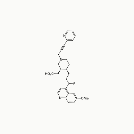 COc1ccc2nccc(C(F)CC[C@@H]3CCN(CC#Cc4ccccn4)C[C@@H]3CC(=O)O)c2c1